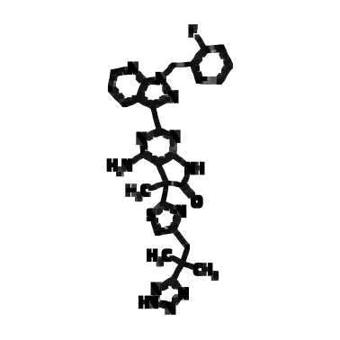 CC(C)(Cc1csc(C2(C)C(=O)Nc3nc(-c4nn(Cc5ccccc5F)c5ncccc45)nc(N)c32)n1)c1nn[nH]n1